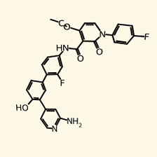 CCOc1ccn(-c2ccc(F)cc2)c(=O)c1C(=O)Nc1ccc(-c2ccc(O)c(-c3ccnc(N)c3)c2)c(F)c1